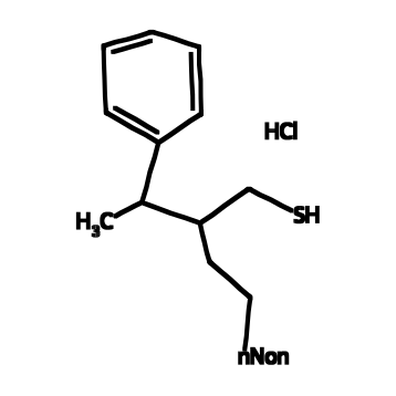 CCCCCCCCCCCC(CS)C(C)c1ccccc1.Cl